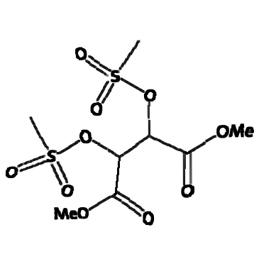 COC(=O)C(OS(C)(=O)=O)C(OS(C)(=O)=O)C(=O)OC